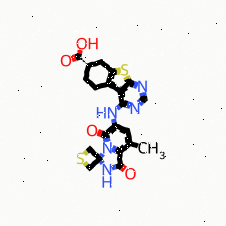 Cc1cc(Nc2ncnc3sc4c(c23)CC[C@H](C(=O)O)C4)c(=O)n2c1C(=O)NC21CSC1